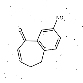 O=C1C=CCCc2ccc([N+](=O)[O-])cc21